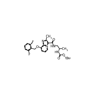 Cc1nc2c(OCc3c(F)cccc3F)cccn2c1C(=O)NCC(C)NC(=O)OC(C)(C)C